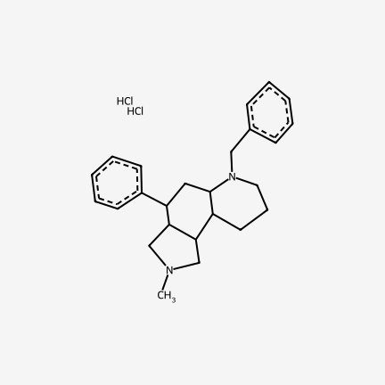 CN1CC2C(c3ccccc3)CC3C(CCCN3Cc3ccccc3)C2C1.Cl.Cl